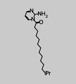 CC(C)CCCCCCCCCCCC(=O)N1C=CC=NC1N